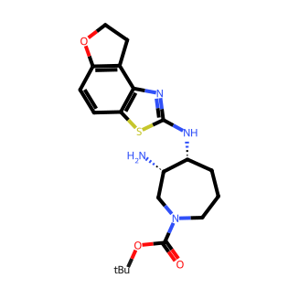 CC(C)(C)OC(=O)N1CCC[C@@H](Nc2nc3c4c(ccc3s2)OCC4)[C@@H](N)C1